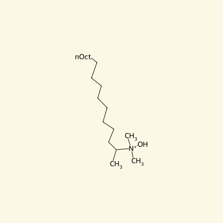 CCCCCCCCCCCCCCCCC(C)[N+](C)(C)O